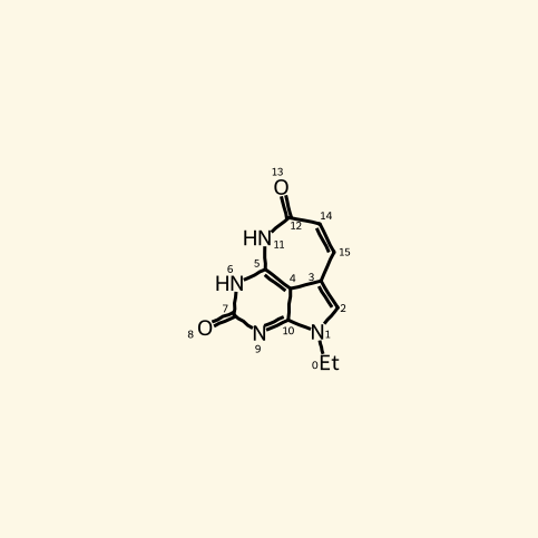 CCn1cc2c3c([nH]c(=O)nc31)NC(=O)C=C2